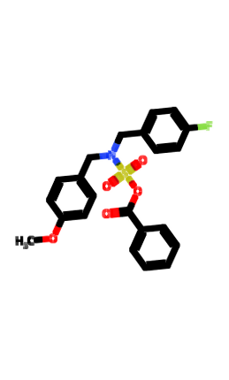 COc1ccc(CN(Cc2ccc(F)cc2)S(=O)(=O)OC(=O)c2ccccc2)cc1